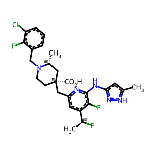 Cc1cc(Nc2nc(C[C@@]3(C(=O)O)CCN(Cc4cccc(Cl)c4F)[C@H](C)C3)cc([C@H](C)F)c2F)n[nH]1